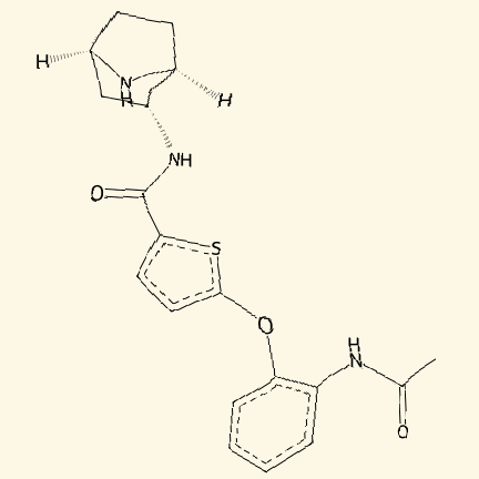 CC(=O)Nc1ccccc1Oc1ccc(C(=O)N[C@@H]2C[C@H]3CC[C@@H]2N3)s1